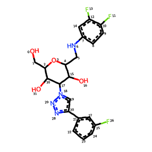 OCC1OC(CNc2ccc(F)c(F)c2)C(O)C(n2cc(-c3cccc(F)c3)nn2)C1O